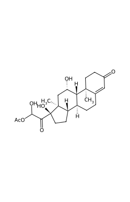 CC(=O)OC(O)C(=O)[C@@]1(O)CC[C@H]2[C@@H]3CCC4=CC(=O)CC[C@]4(C)[C@H]3[C@@H](O)C[C@@]21C